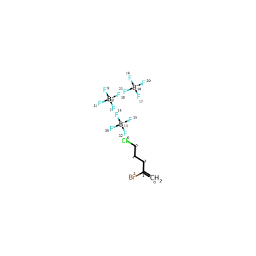 C=C(Br)CCCCl.F[B-](F)(F)F.F[B-](F)(F)F.F[B-](F)(F)F